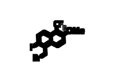 COc1ccc2c(CBr)c(F)ccc2c1C(F)(F)F